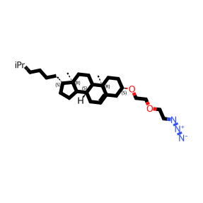 CC(C)CCCC[C@H]1CCC2[C@@H]3CC=C4C[C@@H](OCCOCCN=[N+]=[N-])CC[C@]4(C)C3CC[C@@]21C